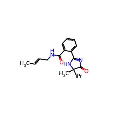 CC=CCNC(=O)c1ccccc1C1=NC(=O)C(C)(C(C)C)N1